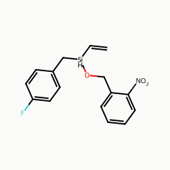 C=C[SiH](Cc1ccc(F)cc1)OCc1ccccc1[N+](=O)[O-]